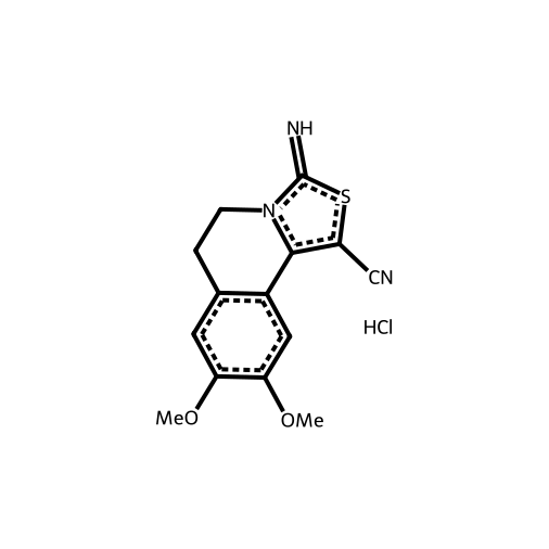 COc1cc2c(cc1OC)-c1c(C#N)sc(=N)n1CC2.Cl